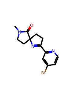 CN1CCC2(CCC(c3cc(Br)ccn3)=N2)C1=O